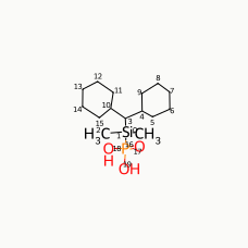 C[Si](C)(C(C1CCCCC1)C1CCCCC1)P(=O)(O)O